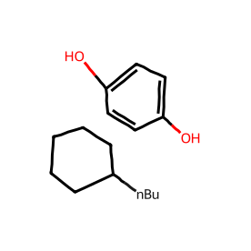 CCCCC1CCCCC1.Oc1ccc(O)cc1